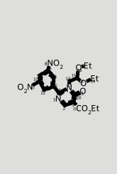 CCOC(=O)c1cnc(-c2cc([N+](=O)[O-])cc([N+](=O)[O-])c2)n(CC(OCC)OCC)c1=O